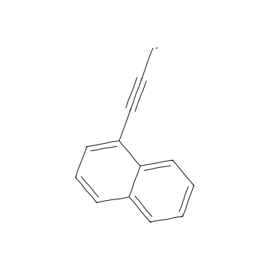 [CH2]C#Cc1cccc2ccccc12